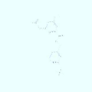 CC(=O)Nc1nc(C)cc(C(=O)NCc2cccc(OC(F)(F)F)c2)n1